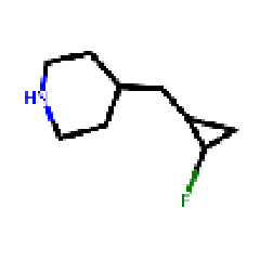 FC1CC1CC1CCNCC1